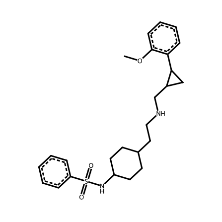 COc1ccccc1C1CC1CNCCC1CCC(NS(=O)(=O)c2ccccc2)CC1